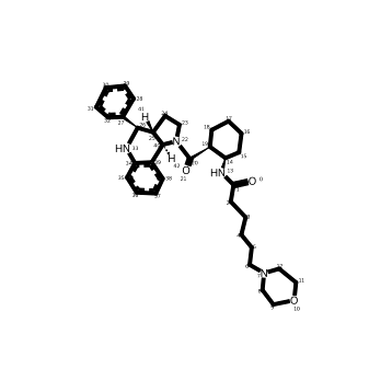 O=C(CCCCCN1CCOCC1)N[C@@H]1CCCC[C@@H]1C(=O)N1CC[C@H]2[C@H](c3ccccc3)Nc3ccccc3[C@@H]21